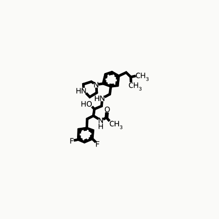 CC(=O)NC(Cc1cc(F)cc(F)c1)C(O)CNCc1cc(CC(C)C)ccc1N1CCNCC1